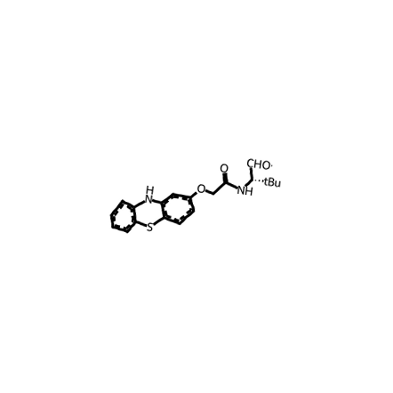 CC(C)(C)[C@@H]([C]=O)NC(=O)COc1ccc2c(c1)Nc1ccccc1S2